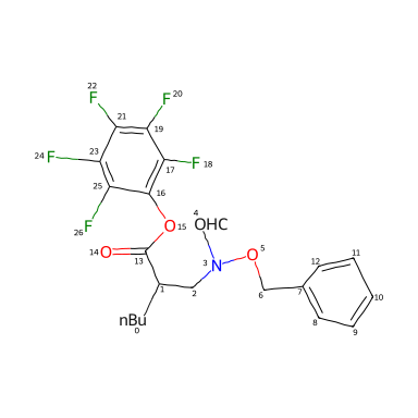 CCCCC(CN(C=O)OCc1ccccc1)C(=O)Oc1c(F)c(F)c(F)c(F)c1F